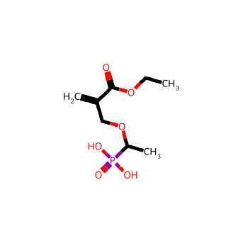 C=C(COC(C)P(=O)(O)O)C(=O)OCC